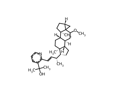 COC1C[C@H]2[C@@H]3CC[C@H]([C@H](C)/C=C/c4ncccc4C(C)(C)O)[C@@]3(C)CC[C@@H]2[C@@]2(C)CC[C@@H]3CC132